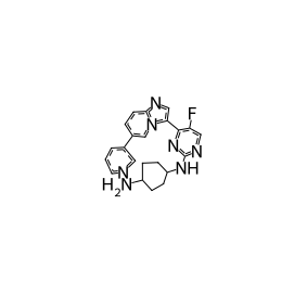 NC1CCC(Nc2ncc(F)c(-c3cnc4ccc(-c5cccnc5)cn34)n2)CC1